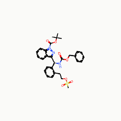 CC(C)(C)OC(=O)n1nc([C@@H](NC(=O)OCc2ccccc2)c2ccccc2CCOS(C)(=O)=O)c2ccccc21